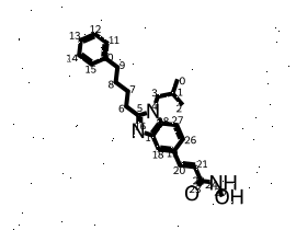 CC(C)Cn1c(CCCCc2ccccc2)nc2cc(/C=C/C(=O)NO)ccc21